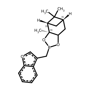 CC1(C)[C@@H]2CC3OB(Cc4coc5ccccc45)O[C@@]3(C)[C@H]1C2